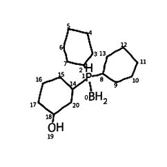 B[PH](C1CCCCC1)(C1CCCCC1)C1CCCC(O)C1